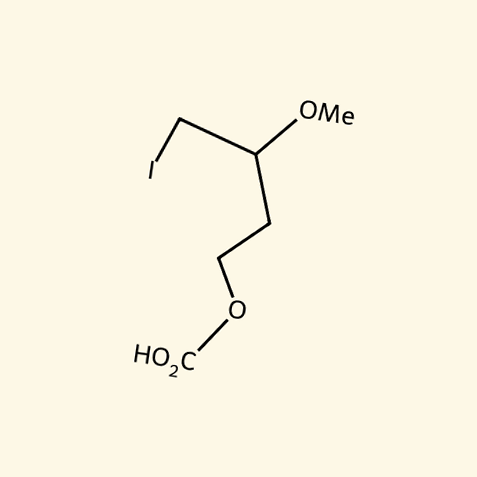 COC(CI)CCOC(=O)O